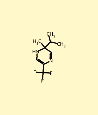 CC(C)C1(C)C=NC(C(F)(F)F)=CN1